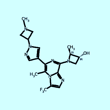 Cc1c(-c2cnn(C3CN(C)C3)c2)nc(N2C[C@@H](O)[C@@H]2C)c2ncc(C(F)(F)F)n12